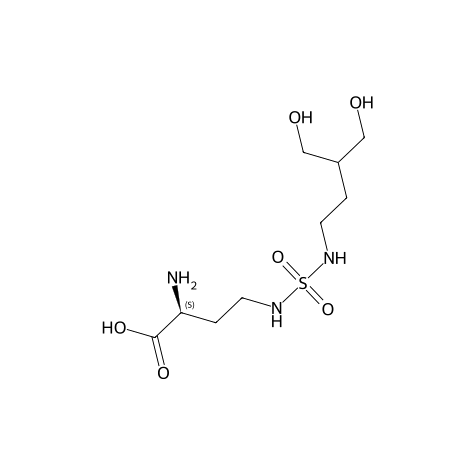 N[C@@H](CCNS(=O)(=O)NCCC(CO)CO)C(=O)O